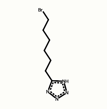 BrCCCCCCc1nnn[nH]1